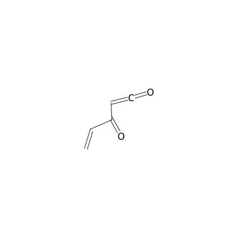 C=CC(=O)C=C=O